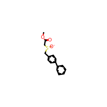 COC(=O)C[S+]([O-])Cc1ccc(-c2ccccc2)cc1